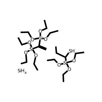 C=C([Si](OCC)(OCC)OCC)[Si](OCC)(OCC)OCC.CCO[Si](OCC)(OCC)C(S)CC.[SiH4]